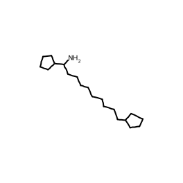 NC(CCCCCCCCCC1CCCC1)C1CCCC1